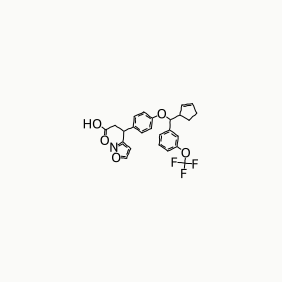 O=C(O)CC(c1ccc(OC(c2cccc(OC(F)(F)F)c2)C2C=CCC2)cc1)c1ccon1